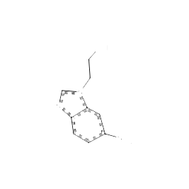 O=[N+]([O-])c1ccc2ncn(CCO)c2c1